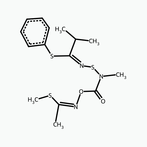 CSC(C)=NOC(=O)N(C)SN=C(Sc1ccccc1)C(C)C